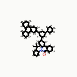 CC(C)(C)c1ccccc1-n1c(=O)c2ccccc2c2cc(-c3cc(-c4ccccc4)cc(-c4ccc5c6ccccc6c6ccccc6c5c4)c3)ccc21